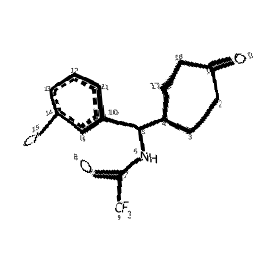 O=C1CCC(C(NC(=O)C(F)(F)F)c2cccc(Cl)c2)CC1